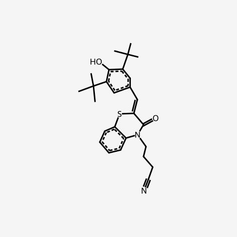 CC(C)(C)c1cc(C=C2Sc3ccccc3N(CCCC#N)C2=O)cc(C(C)(C)C)c1O